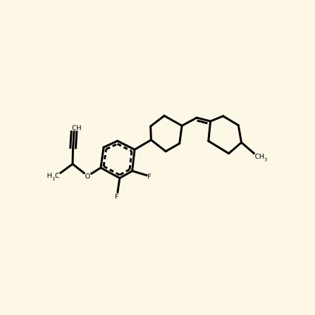 C#CC(C)Oc1ccc(C2CCC(C=C3CCC(C)CC3)CC2)c(F)c1F